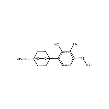 CCCCCC12CCC(c3ccc(OCCCC)c(C#N)c3C#N)(CC1)CC2